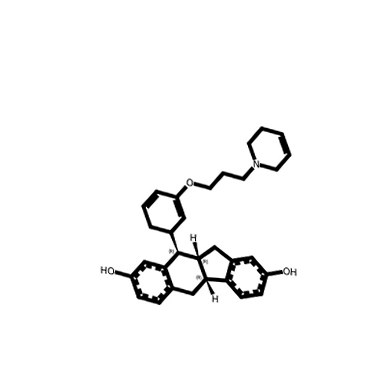 Oc1ccc2c(c1)C[C@@H]1[C@H]2Cc2ccc(O)cc2[C@H]1C1C=C(OCCCN2CC=CCC2)C=CC1